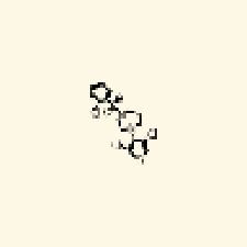 O=S(=O)(c1ccccc1Cl)N1CCCN(c2c(Cl)cncc2Cl)CC1